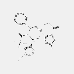 Cn1cc([C@@H]2C[C@]3(C[C@H](c4ccccc4)N2C(=O)C(F)(F)F)OCC(=O)c2cc(Cl)sc23)nn1